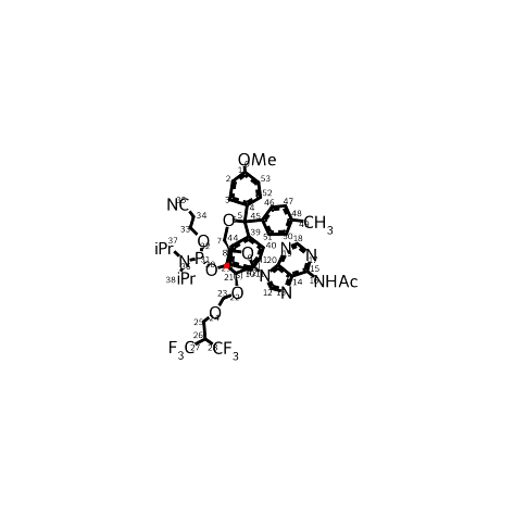 COc1ccc(C(OC[C@H]2O[C@@H](n3cnc4c(NC(C)=O)ncnc43)[C@@H](OCOCC(C(F)(F)F)C(F)(F)F)C2OP(OCCC#N)N(C(C)C)C(C)C)(c2ccccc2)c2ccc(C)cc2)cc1